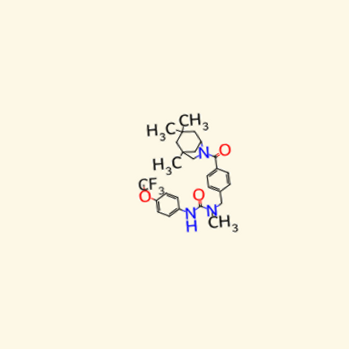 CN(Cc1ccc(C(=O)N2CC3(C)CC2CC(C)(C)C3)cc1)C(=O)Nc1ccc(OC(F)(F)F)cc1